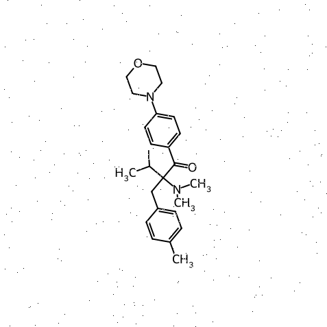 Cc1ccc(CC(C(=O)c2ccc(N3CCOCC3)cc2)(C(C)I)N(C)C)cc1